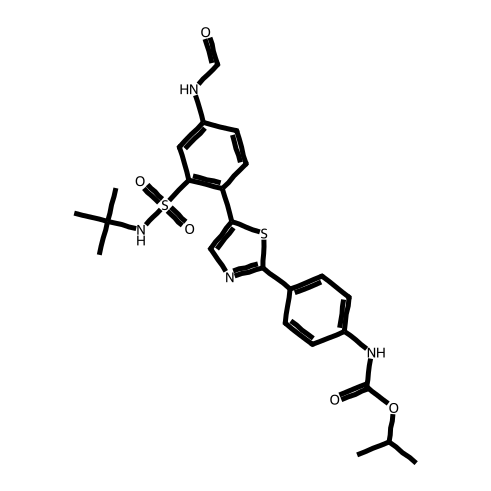 CC(C)OC(=O)Nc1ccc(-c2ncc(-c3ccc(NC=O)cc3S(=O)(=O)NC(C)(C)C)s2)cc1